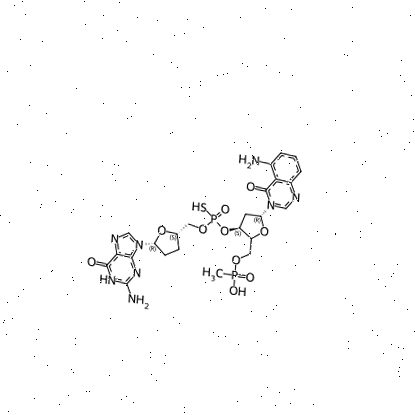 CP(=O)(O)OCC1O[C@@H](n2cnc3cccc(N)c3c2=O)C[C@@H]1OP(=O)(S)OC[C@@H]1CC[C@H](n2cnc3c(=O)[nH]c(N)nc32)O1